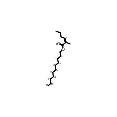 CCCC=C(C)C(=O)OCCCCCCCCCCC